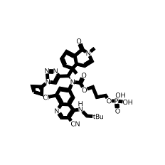 CN1C=CC2C(=CC=CC2(C)[C@@H](c2cn(C34CC(C3)C4)nn2)N(C(=O)OCCCOP(=O)(O)O)c2cc(Cl)c3ncc(C#N)c(NCC(C)(C)C)c3c2)C1=O